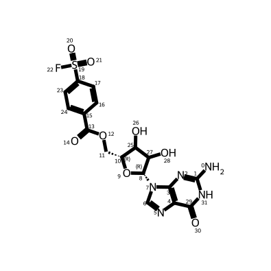 Nc1nc2c(ncn2[C@@H]2O[C@H](COC(=O)c3ccc(S(=O)(=O)F)cc3)C(O)C2O)c(=O)[nH]1